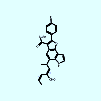 C/C=C\C(C=O)=C/C(C)c1cc2c(C(=O)NC)c(-c3ccc(F)cc3)oc2c2cc[nH]c12